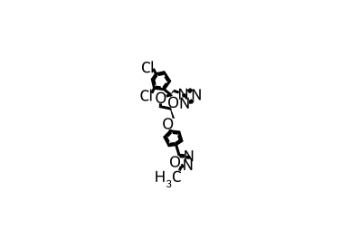 Cc1nnc(-c2ccc(OC[C@H]3CO[C@@](Cn4cncn4)(c4ccc(Cl)cc4Cl)O3)cc2)o1